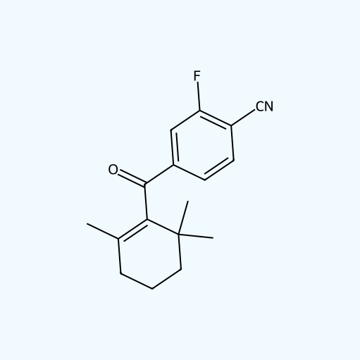 CC1=C(C(=O)c2ccc(C#N)c(F)c2)C(C)(C)CCC1